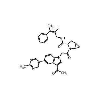 CC(=O)c1nn(CC(=O)N2C3CC3C[C@H]2C(=O)NC/C(F)=C(/C)c2ccccc2)c2ccc(-c3cnc(C)nc3)cc12